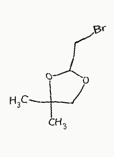 CC1(C)COC(CBr)O1